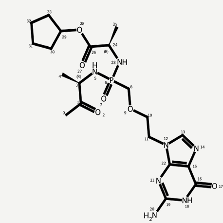 CC(=O)[C@@H](C)NP(=O)(COCCn1cnc2c(=O)[nH]c(N)nc21)N[C@H](C)C(=O)OC1CCCC1